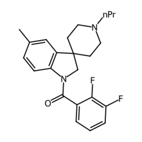 CCCN1CCC2(CC1)CN(C(=O)c1cccc(F)c1F)c1ccc(C)cc12